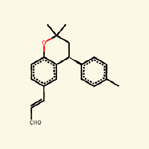 Cc1ccc([C@@H]2CC(C)(C)Oc3ccc(C=CC=O)cc32)cc1